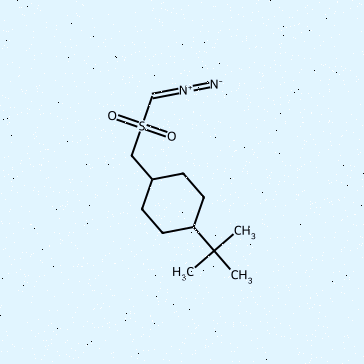 CC(C)(C)C1CCC(CS(=O)(=O)C=[N+]=[N-])CC1